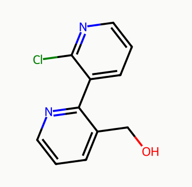 OCc1cccnc1-c1cccnc1Cl